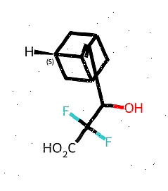 O=C(O)C(F)(F)C(O)C1=C2C3CC(C1)C[C@H]2C3